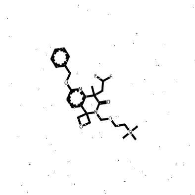 CC1(CC(F)F)C(=O)N(COCC[Si](C)(C)C)C2(COC2)c2ccc(OCc3ccccc3)nc21